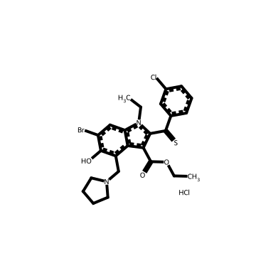 CCOC(=O)c1c(C(=S)c2cccc(Cl)c2)n(CC)c2cc(Br)c(O)c(CN3CCCC3)c12.Cl